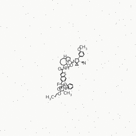 CCCOC(=O)[C@H](C)NP(=O)(Oc1ccccc1)C(F)c1ccc2sc(C(=O)N[C@H]3CCCC[C@H]4CC[C@@H](C(=O)N5C[C@@H](c6cccc(OC)c6)[C@H](C#N)C56CC6)N4C3=O)cc2c1